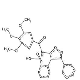 COc1cc(C(=O)Nc2onc(-c3ccncc3)c2-c2ccccc2C(=O)O)cc(OC)c1OC